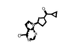 O=C(C1CC1)C1CCC(n2ccc3c(Cl)ncnc32)C1